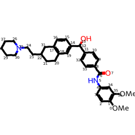 COc1ccc(NC(=O)c2ccc(C(O)c3ccc4c(c3)CCC(CCN3CCCCC3)C4)cc2)cc1OC